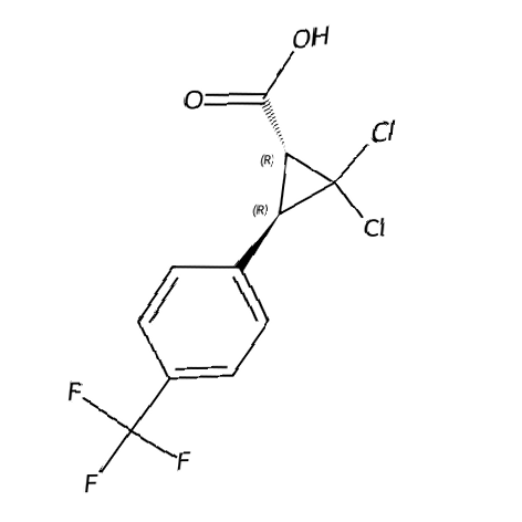 O=C(O)[C@H]1[C@H](c2ccc(C(F)(F)F)cc2)C1(Cl)Cl